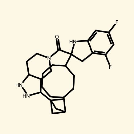 O=C(N1CCC2NNC(C34CC(C3)C4)C2C1)C1(C2CCCCCCC2)Cc2c(F)cc(F)cc2N1